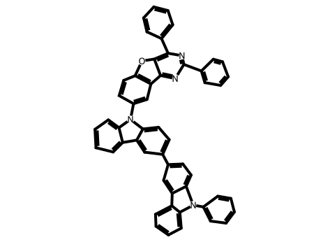 c1ccc(-c2nc(-c3ccccc3)c3oc4ccc(-n5c6ccccc6c6cc(-c7ccc8c(c7)c7ccccc7n8-c7ccccc7)ccc65)cc4c3n2)cc1